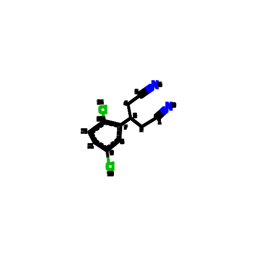 N#CCC(CC#N)c1cc(Cl)ccc1Cl